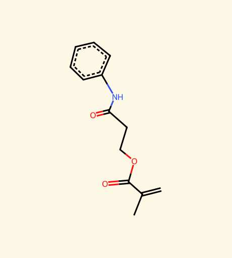 C=C(C)C(=O)OCCC(=O)Nc1ccccc1